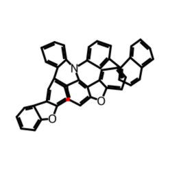 c1cc(-c2cccc3ccccc23)cc(N(c2ccccc2-c2ccc3oc4ccccc4c3c2)c2cccc3oc4ccccc4c23)c1